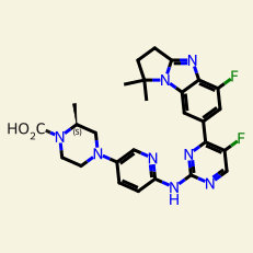 C[C@H]1CN(c2ccc(Nc3ncc(F)c(-c4cc(F)c5nc6n(c5c4)C(C)(C)CC6)n3)nc2)CCN1C(=O)O